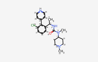 CC(NC(=O)N(C)C1CCN(C)CC1)c1cccc(Cl)c1-c1ccncc1